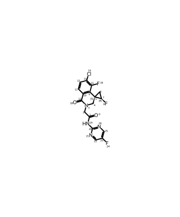 O=C(CN1C[C@]2(C[C@H]2F)c2c(ccc(Cl)c2F)C1=O)Nc1ncc(F)cn1